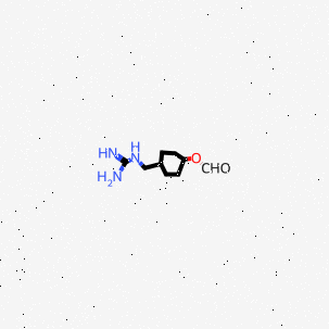 N=C(N)NCC1CCC(OC=O)CC1